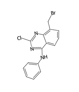 Clc1nc(Nc2ccccc2)c2cccc(CBr)c2n1